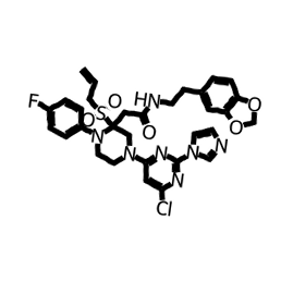 C=CCS(=O)(=O)C1(CC(=O)NCCc2ccc3c(c2)OCO3)CN(c2cc(Cl)nc(-n3ccnc3)n2)CCN1c1ccc(F)cc1